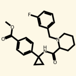 COC(=O)c1ccc(C2(NC(=O)C3CCCCN3Cc3cccc(F)c3)CC2)cc1